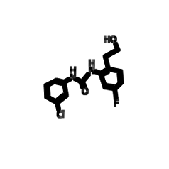 O=C(Nc1cccc(Cl)c1)Nc1cc(F)ccc1CCO